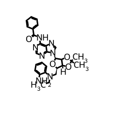 CCN(C[C@H]1O[C@@H](n2cnc3c(NC(=O)c4ccccc4)ncnc32)C2OC(C)(C)O[C@@H]21)c1ccccc1N